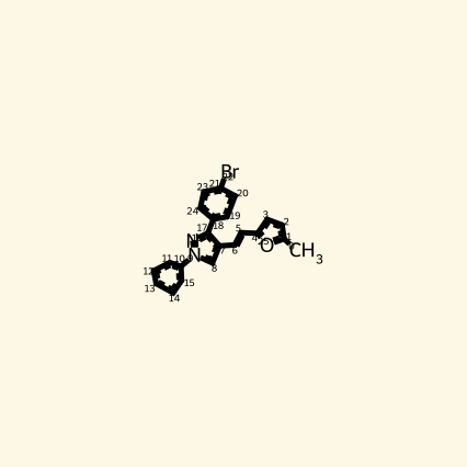 Cc1ccc(/C=C/c2cn(-c3ccccc3)nc2-c2ccc(Br)cc2)o1